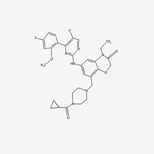 CCN1C(=O)COc2c(CN3CCN(C(=O)C4CC4)CC3)cc(Nc3ncc(F)c(-c4ccc(F)cc4OC)n3)cc21